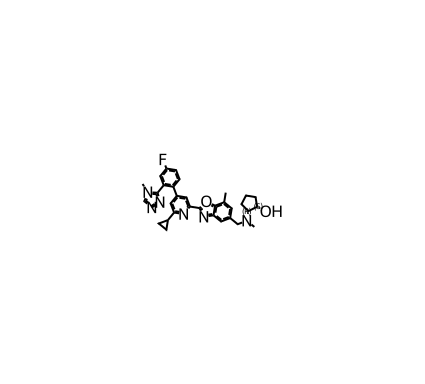 Cc1cc(CN(C)[C@@H]2CCC[C@@H]2O)cc2nc(-c3cc(-c4ccc(F)cc4-c4nncn4C)cc(C4CC4)n3)oc12